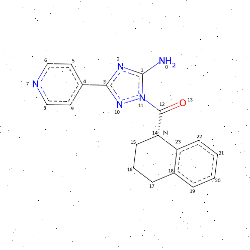 Nc1nc(-c2ccncc2)nn1C(=O)[C@H]1CCCc2ccccc21